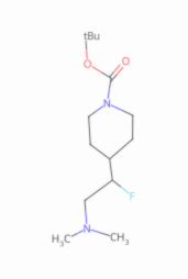 CN(C)CC(F)C1CCN(C(=O)OC(C)(C)C)CC1